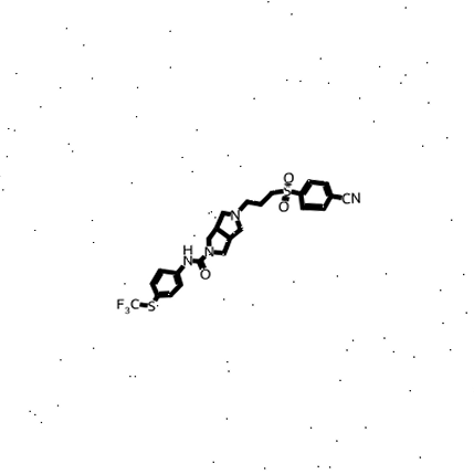 N#Cc1ccc(S(=O)(=O)CCCN2CC3CN(C(=O)Nc4ccc(SC(F)(F)F)cc4)CC3C2)cc1